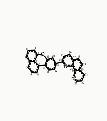 c1cc2c3c(cccc3c1)-c1ccc(-c3ccc4ccc5cccnc5c4n3)cc1O2